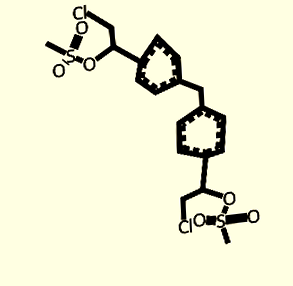 CS(=O)(=O)OC(CCl)c1ccc(Cc2ccc(C(CCl)OS(C)(=O)=O)cc2)cc1